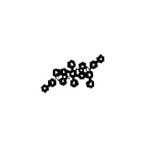 c1ccc(-c2ccc(N(c3ccccc3)c3cccc4c3c3cccc5c6c(-c7ccccc7)c7c(c(-c8ccccc8)c6n4c35)c3cccc4c5c(N(c6ccc(-c8ccccc8)cc6)c6ccc(-c8ccccc8)cc6)cccc5n7c43)cc2)cc1